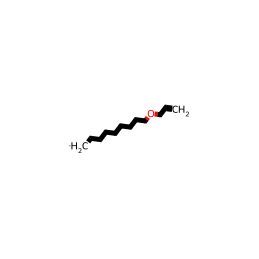 [CH2]CCCCCCCCOCC=C